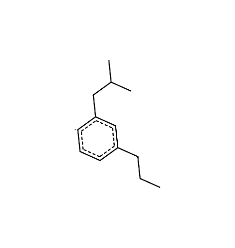 CCCc1cc[c]c(CC(C)C)c1